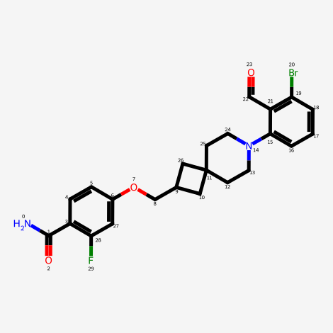 NC(=O)c1ccc(OCC2CC3(CCN(c4cccc(Br)c4C=O)CC3)C2)cc1F